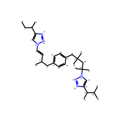 CCC(C)c1cn(/C=C/C(C)Cc2ccc(CC(C)(C)CC(C)(C)n3cc(C(C)C(C)C)nn3)cc2)nn1